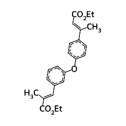 CCOC(=O)C=C(C)c1ccc(Oc2cccc(C=C(C)C(=O)OCC)c2)cc1